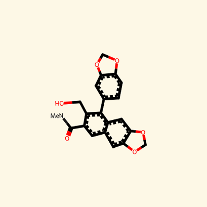 CNC(=O)c1cc2cc3c(cc2c(-c2ccc4c(c2)OCO4)c1CO)OCO3